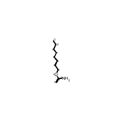 C=C(N)OCCCCCCCC